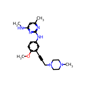 CNc1cc(C)nc(Nc2ccc(OC)c(C#CCN3CCN(C)CC3)c2)n1